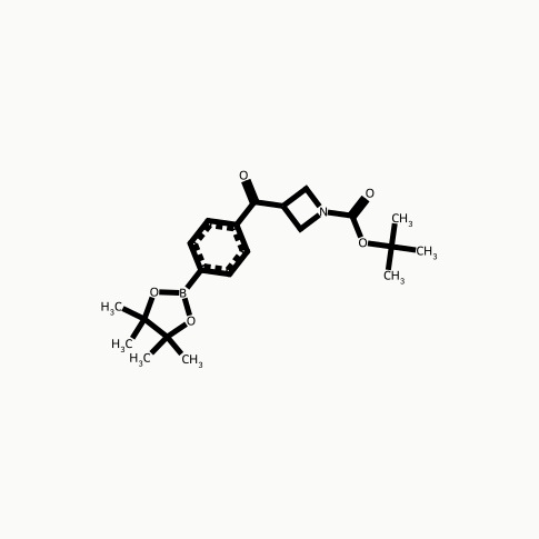 CC(C)(C)OC(=O)N1CC(C(=O)c2ccc(B3OC(C)(C)C(C)(C)O3)cc2)C1